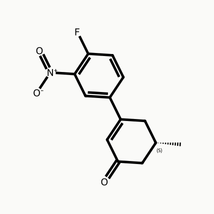 C[C@@H]1CC(=O)C=C(c2ccc(F)c([N+](=O)[O-])c2)C1